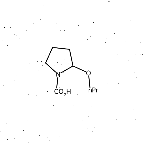 CCCOC1CCCN1C(=O)O